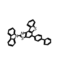 c1ccc(-c2ccc(-c3cc4sc(-n5c6ccccc6c6ccccc65)nc4c4c3sc3ccccc34)cc2)cc1